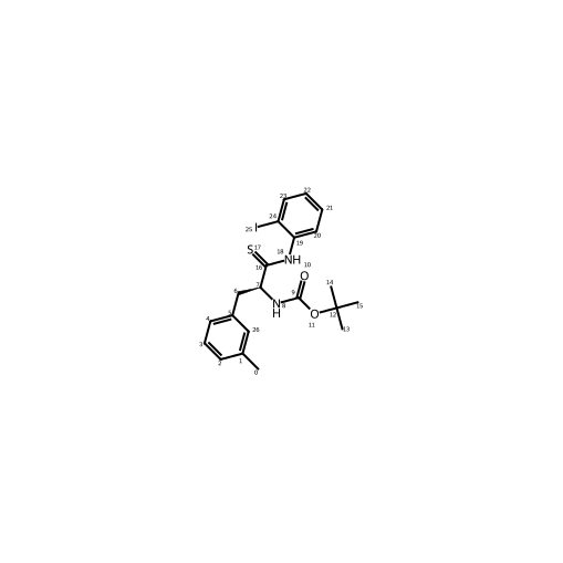 Cc1cccc(C[C@H](NC(=O)OC(C)(C)C)C(=S)Nc2ccccc2I)c1